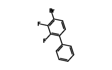 Fc1c(Br)ccc(-c2ccccc2)c1F